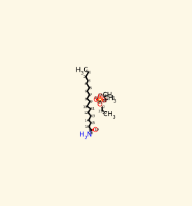 CCCCCCCCCCCCCCCCCC(N)=O.CCCOP(=O)(OC)OC